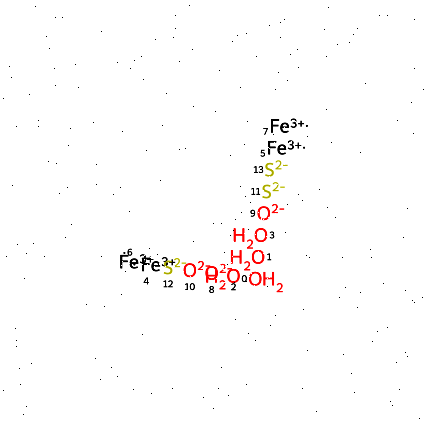 O.O.O.O.[Fe+3].[Fe+3].[Fe+3].[Fe+3].[O-2].[O-2].[O-2].[S-2].[S-2].[S-2]